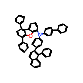 c1ccc(-c2ccc(N(c3ccc(-c4ccc5ccccc5c4-c4ccccc4)cc3)c3cccc4c3oc3c(-c5ccccc5)ccc(-c5ccccc5)c34)cc2)cc1